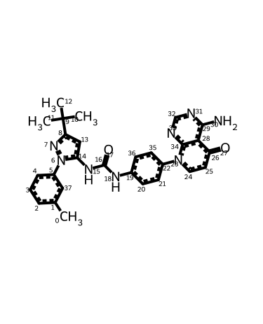 Cc1cccc(-n2nc(C(C)(C)C)cc2NC(=O)Nc2ccc(-n3ccc(=O)c4c(N)ncnc43)cc2)c1